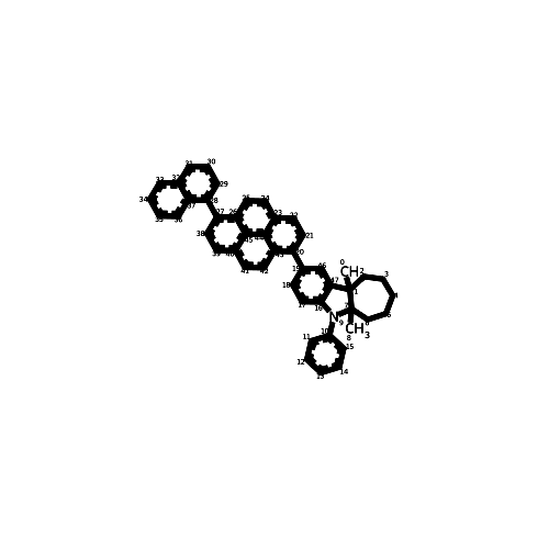 CC12CCCCCC1(C)N(c1ccccc1)c1ccc(-c3ccc4ccc5c(-c6cccc7ccccc67)ccc6ccc3c4c65)cc12